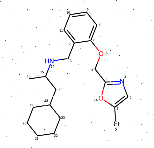 CCc1cnc(COc2ccccc2CNC(C)CC2CCCCC2)o1